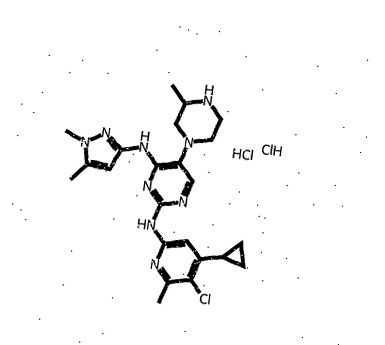 Cc1nc(Nc2ncc(N3CCNC(C)C3)c(Nc3cc(C)n(C)n3)n2)cc(C2CC2)c1Cl.Cl.Cl